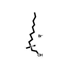 CCCCCCCCC[N+](C)(C)CCO.[Br-]